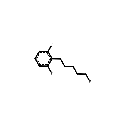 FCCCCCc1c(F)cccc1F